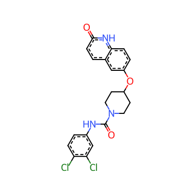 O=C(Nc1ccc(Cl)c(Cl)c1)N1CCC(Oc2ccc3[nH]c(=O)ccc3c2)CC1